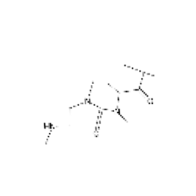 CNCCN(C)C(=O)N(C)C(C)C(=O)C(C)(C)C